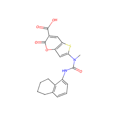 CN(C(=O)Nc1cccc2c1CCCC2)c1cc2oc(=O)c(C(=O)O)cc2s1